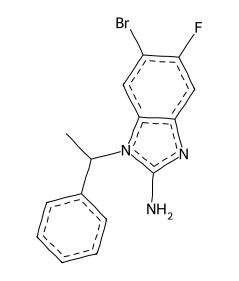 CC(c1ccccc1)n1c(N)nc2cc(F)c(Br)cc21